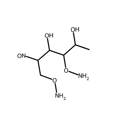 CC(O)C(ON)C(O)C(CON)N=O